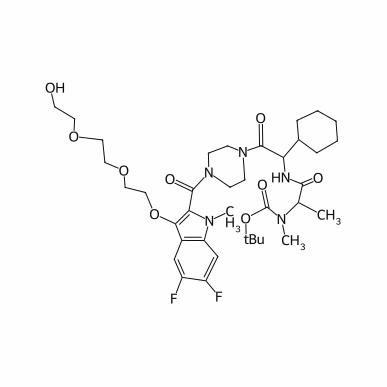 CC(C(=O)NC(C(=O)N1CCN(C(=O)c2c(OCCOCCOCCO)c3cc(F)c(F)cc3n2C)CC1)C1CCCCC1)N(C)C(=O)OC(C)(C)C